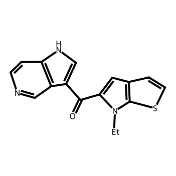 CCn1c(C(=O)c2c[nH]c3ccncc23)cc2ccsc21